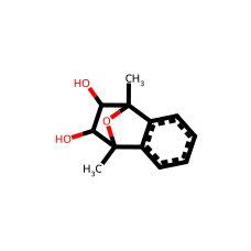 CC12OC(C)(c3ccccc31)C(O)C2O